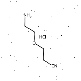 Cl.N#CCCOCCN